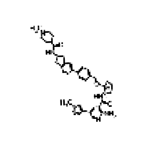 CN1CCC(C(=O)NC2Cc3ccc(-c4ccc(CO[C@H]5CCC[C@@H]5NC(=O)c5cc(-c6cnn(C)c6)cnc5N)cc4)cc3C2)CC1